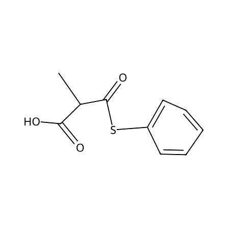 CC(C(=O)O)C(=O)Sc1ccccc1